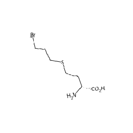 N[C@H](CCSCCCBr)C(=O)O